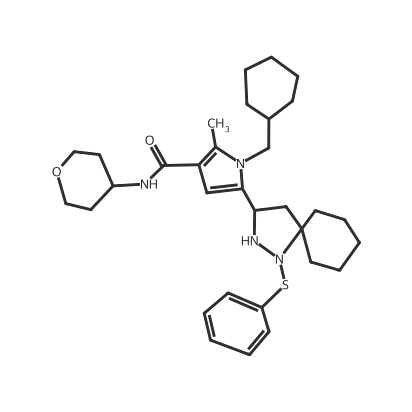 Cc1c(C(=O)NC2CCOCC2)cc(C2CC3(CCCCC3)N(Sc3ccccc3)N2)n1CC1CCCCC1